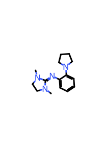 CN1CCN(C)C1=Nc1ccccc1N1CCCC1